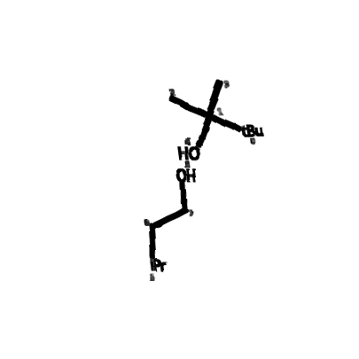 CC(C)(C)C(C)(C)O.CC(C)CCO